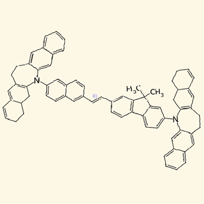 CC1(C)c2cc(/C=C/c3ccc4cc(N5C6=C(C=C7C=CCCC7C6)CCc6cc7ccccc7cc65)ccc4c3)ccc2-c2ccc(N3C4=C(C=C5C=CCCC5C4)CCc4cc5ccccc5cc43)cc21